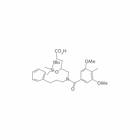 COc1cc(C(=O)N(CCCc2ccccc2)CC(CCC(=O)O)O[Si](C)(C)C(C)(C)C)cc(OC)c1C